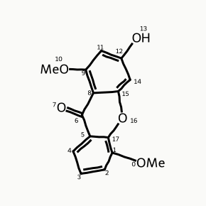 COc1cccc2c(=O)c3c(OC)cc(O)cc3oc12